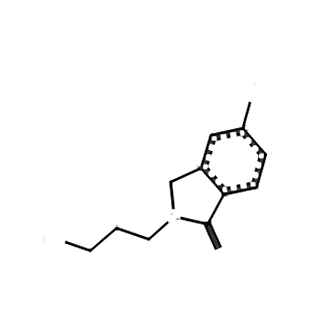 O=C1c2ccc(I)cc2CN1CCCO